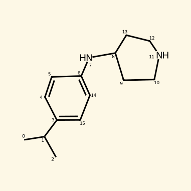 CC(C)c1ccc(NC2CCNCC2)cc1